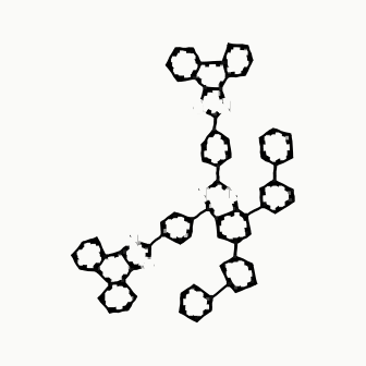 c1ccc(-c2cccc(-c3cc(-c4cccc(-c5ccccc5)c4)c4nc(-c5ccc(-c6nc7c8ccccc8c8ccccc8c7o6)cc5)nc(-c5ccc(-c6nc7c8ccccc8c8ccccc8c7o6)cc5)c4c3)c2)cc1